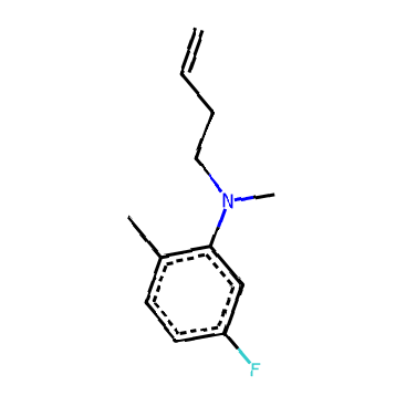 C=CCCN(C)c1cc(F)ccc1C